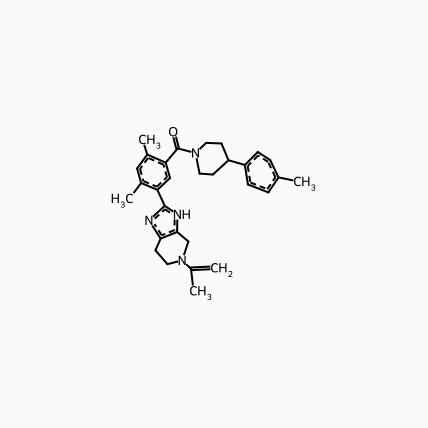 C=C(C)N1CCc2nc(-c3cc(C(=O)N4CCC(c5ccc(C)cc5)CC4)c(C)cc3C)[nH]c2C1